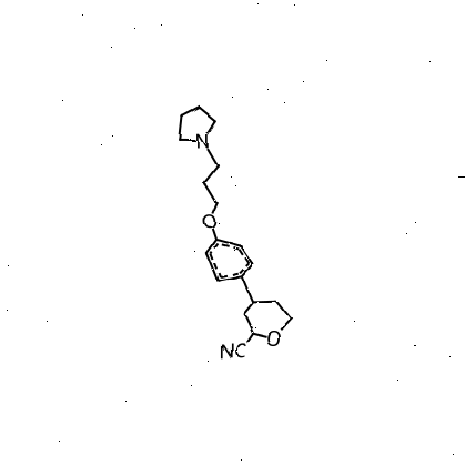 N#CC1CC(c2ccc(OCCCN3CCCC3)cc2)CCO1